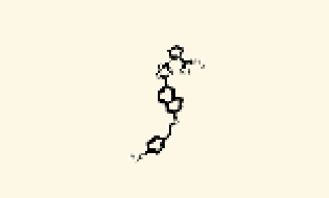 Cc1ccc(CCOc2ccc3cc(-c4noc([C@@H]5CCCN5C(=N)N)n4)ccc3c2)cc1